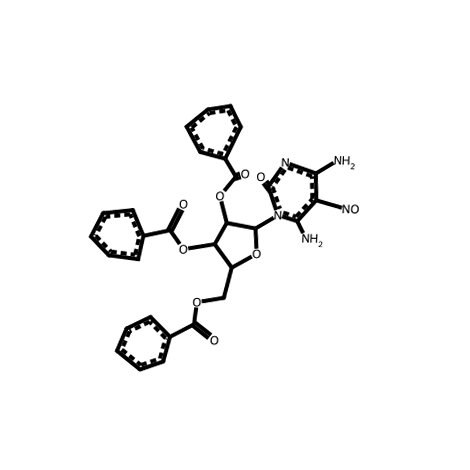 Nc1nc(=O)n(C2OC(COC(=O)c3ccccc3)C(OC(=O)c3ccccc3)C2OC(=O)c2ccccc2)c(N)c1N=O